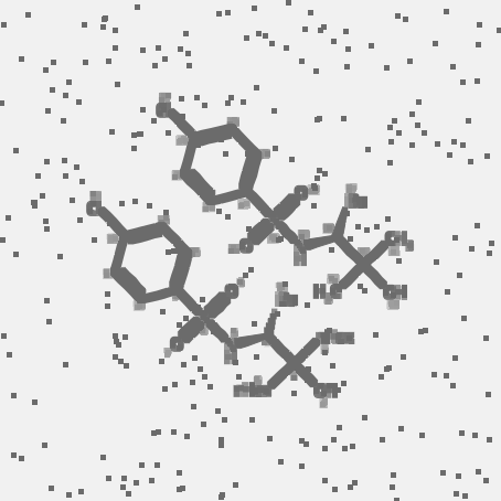 CCCCCCC(O)(CCCCCC)[C@@H](NS(=O)(=O)c1ccc(Cl)cc1)[C@@H](C)CC.CC[C@H](C)[C@H](NS(=O)(=O)c1ccc(Cl)cc1)C(C)(C)O